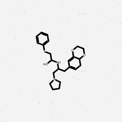 OC(CSc1ccccc1)NC(CC1=CCC2OCCOC2=C1)CN1CCCC1